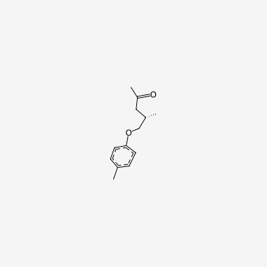 CC(=O)C[C@H](C)COc1ccc(C)cc1